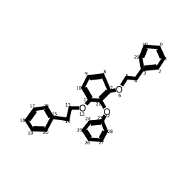 c1ccc(CCOc2cccc(OCCc3ccccc3)c2Oc2ccccc2)cc1